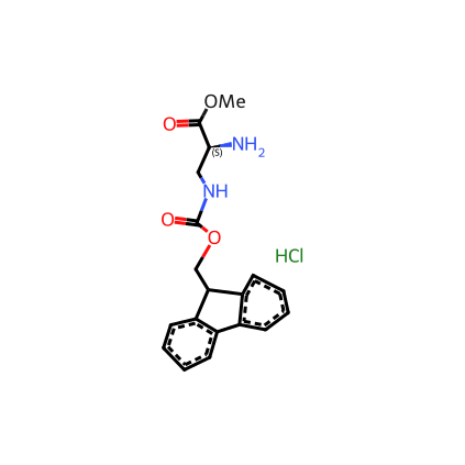 COC(=O)[C@@H](N)CNC(=O)OCC1c2ccccc2-c2ccccc21.Cl